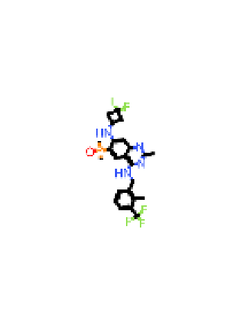 Cc1nc(NCc2cccc(C(F)(F)F)c2C)c2cc(P(C)(C)=O)c(NC3CC(F)(F)C3)cc2n1